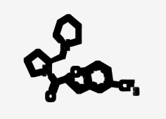 O=C(c1cc2cc(C(F)(F)F)ccc2o1)N1CCC[C@H]1CN1CCCCC1